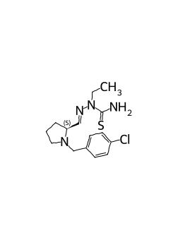 CCN(N=C[C@@H]1CCCN1Cc1ccc(Cl)cc1)C(N)=S